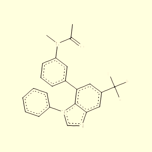 CC(=O)N(C)c1cccc(-c2cc(C(F)(F)F)cc3ncn(-c4ccccc4)c23)c1